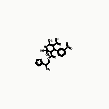 CC1=C(C(=O)O)C(c2cccc([N+](=O)[O-])c2)C(C(=O)OCC(C)c2cccs2)C(C)(O)N1